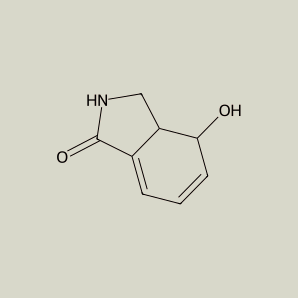 O=C1NCC2C1=CC=CC2O